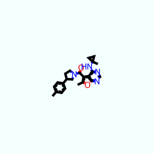 Cc1ccc(C2CCN(C(=O)c3c(C)oc4ncnc(NC5(C)CC5)c34)C2)cc1